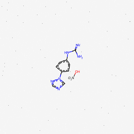 N=C(N)Nc1ccc(-n2cncn2)cc1.O=[N+]([O-])O